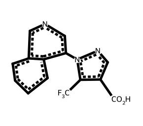 O=C(O)c1cnn(-c2cncc3ccccc23)c1C(F)(F)F